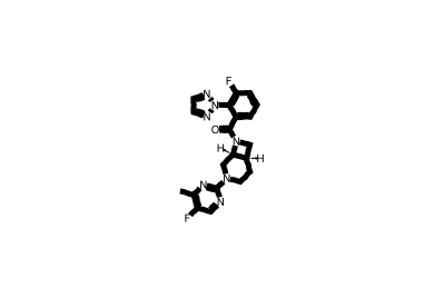 Cc1nc(N2CC[C@@H]3CN(C(=O)c4cccc(F)c4-n4nccn4)[C@@H]3C2)ncc1F